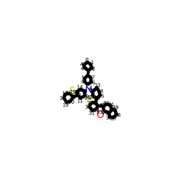 c1ccc(-c2ccc(N(c3ccc4c(c3)sc3ccccc34)c3cccc4c3sc3ccc5oc6c7ccccc7ccc6c5c34)cc2)cc1